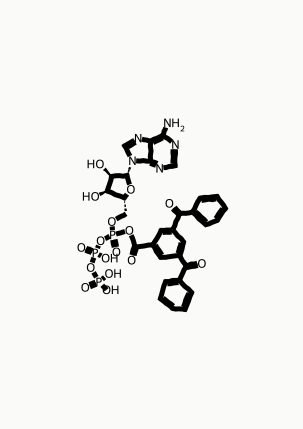 Nc1ncnc2c1ncn2[C@@H]1O[C@H](COP(=O)(OC(=O)c2cc(C(=O)c3ccccc3)cc(C(=O)c3ccccc3)c2)OP(=O)(O)OP(=O)(O)O)[C@@H](O)[C@H]1O